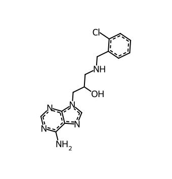 Nc1ncnc2c1ncn2CC(O)CNCc1ccccc1Cl